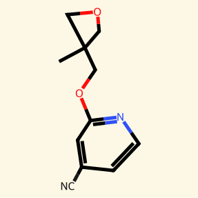 CC1(COc2cc(C#N)ccn2)COC1